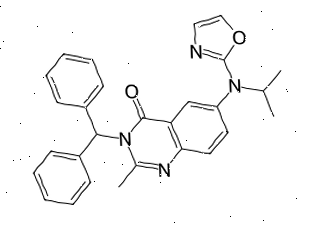 Cc1nc2ccc(N(c3ncco3)C(C)C)cc2c(=O)n1C(c1ccccc1)c1ccccc1